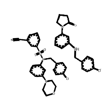 N#Cc1cccc(S(=O)(=O)N(Cc2ccc(Cl)cc2)c2cccc(N3CCOCC3)c2)c1.O=C1CCCN1c1cccc(NCc2ccc(Cl)cc2)c1